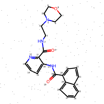 O=C(NCCN1CCOCC1)c1ncccc1NC(=O)c1cccc2ccccc12